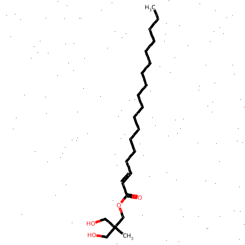 CCCCCCCCCCCCCCCC=CC(=O)OCC(C)(CO)CO